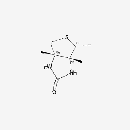 C[C@H]1SC[C@@]2(C)NC(=O)N[C@@]12C